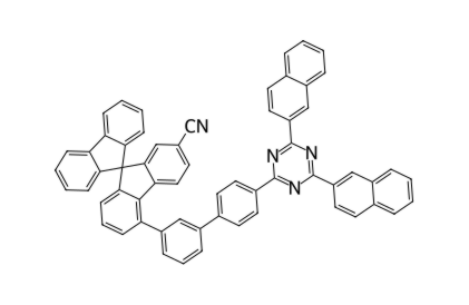 N#Cc1ccc2c(c1)C1(c3ccccc3-c3ccccc31)c1cccc(-c3cccc(-c4ccc(-c5nc(-c6ccc7ccccc7c6)nc(-c6ccc7ccccc7c6)n5)cc4)c3)c1-2